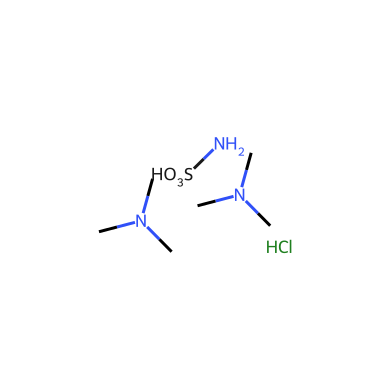 CN(C)C.CN(C)C.Cl.NS(=O)(=O)O